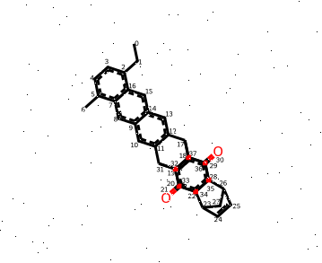 CCc1ccc(C)c2cc3cc4c(cc3cc12)C1C2=C(C(=O)C3C5C=CC(C5)C3C2=O)C4c2ccccc21